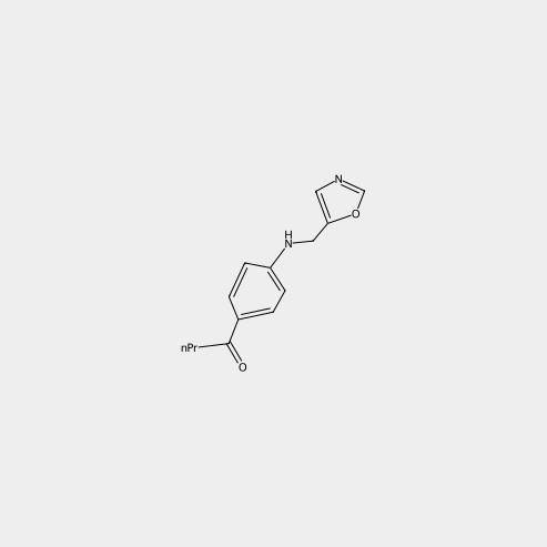 CCCC(=O)c1ccc(NCc2cnco2)cc1